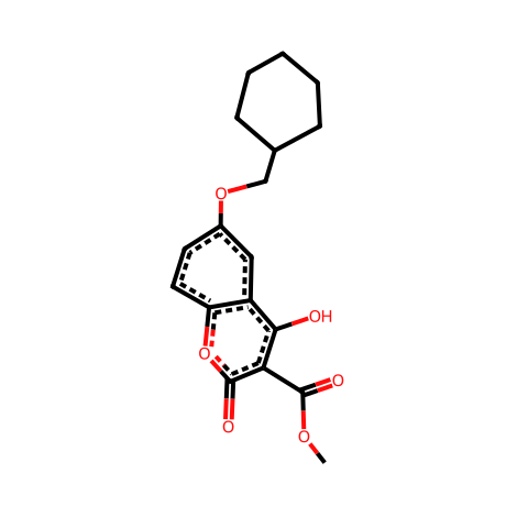 COC(=O)c1c(O)c2cc(OCC3CCCCC3)ccc2oc1=O